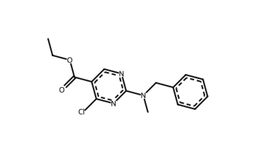 CCOC(=O)c1cnc(N(C)Cc2ccccc2)nc1Cl